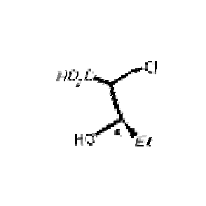 CC[C@@H](O)C(Cl)C(=O)O